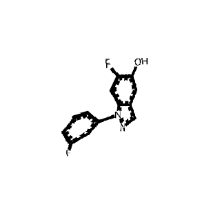 Oc1cc2cnn(-c3cccc(F)c3)c2cc1F